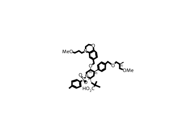 COCCCN1CCOc2ccc(CO[C@H]3CN(S(=O)(=O)c4ccc(C)cc4)[C@@H](CC(C)(C)C(=O)O)C[C@@H]3c3ccc(COC[C@@H](C)COC)cc3)cc21